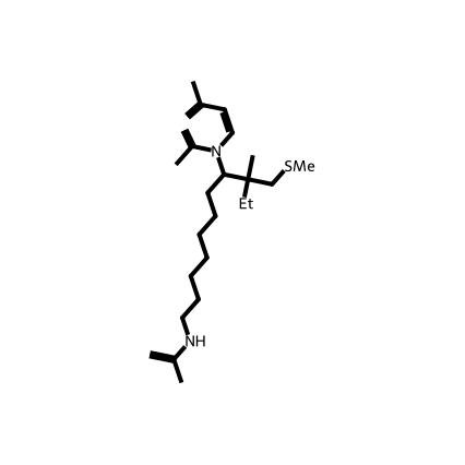 C=C(C)/C=C\N(C(=C)C)C(CCCCCCCNC(=C)C)C(C)(CC)CSC